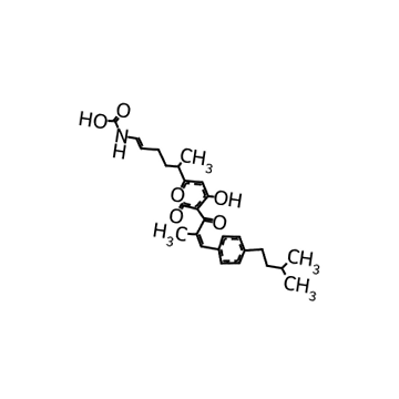 CC(=Cc1ccc(CCC(C)C)cc1)C(=O)c1c(O)cc(C(C)CCC=CNC(=O)O)oc1=O